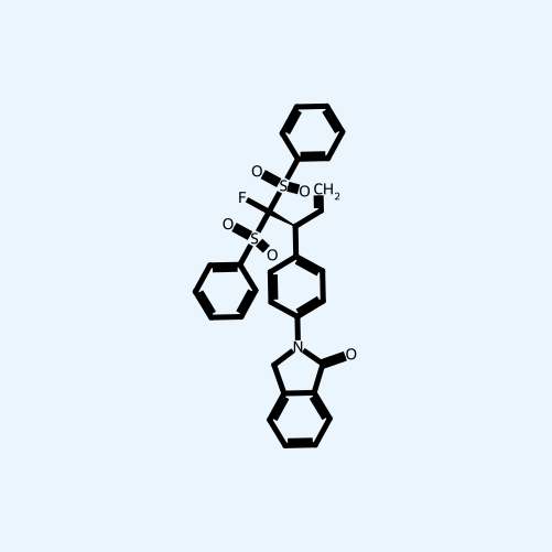 C=C[C@@H](c1ccc(N2Cc3ccccc3C2=O)cc1)C(F)(S(=O)(=O)c1ccccc1)S(=O)(=O)c1ccccc1